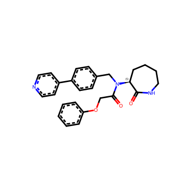 O=C1NCCCC[C@@H]1N(Cc1ccc(-c2ccncc2)cc1)C(=O)COc1ccccc1